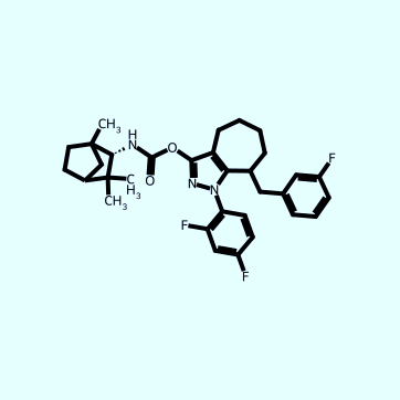 CC12CCC(C1)C(C)(C)[C@H]2NC(=O)Oc1nn(-c2ccc(F)cc2F)c2c1CCCCC2Cc1cccc(F)c1